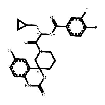 O=C1Nc2ccc(Cl)cc2[C@@]2(CCCN(C(=O)[C@H](CC3CC3)NC(=O)c3ccc(F)c(F)c3)C2)O1